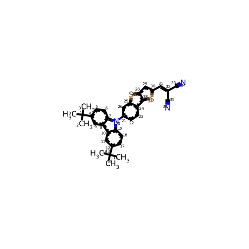 CC(C)(C)c1ccc2c(c1)c1cc(C(C)(C)C)ccc1n2-c1ccc2c(c1)sc1cc(C=C(C#N)C#N)sc12